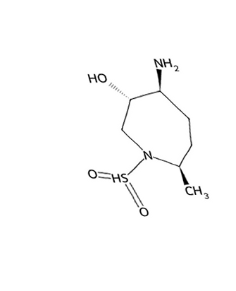 C[C@@H]1CC[C@H](N)[C@@H](O)CN1[SH](=O)=O